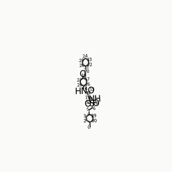 Cc1ccc(C=CS(=O)(=O)NCC(=O)Nc2ccc(OCc3ccccc3)cc2)cc1